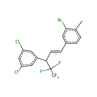 Cc1ccc(/C=C/C(c2cc(Cl)cc(Cl)c2)C(F)(F)C(F)(F)F)cc1Br